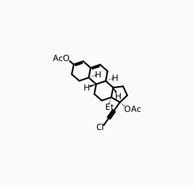 CC[C@]12CC[C@H]3[C@@H](CC=C4C=C(OC(C)=O)CC[C@@H]43)[C@@H]1CC[C@]2(C#CCl)OC(C)=O